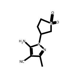 Cc1nn(C2CCS(=O)(=O)C2)c(N)c1C#N